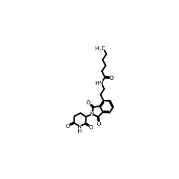 CCCCCC(=O)NCCc1cccc2c1C(=O)N(C1CCC(=O)NC1=O)C2=O